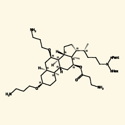 CCCCCCN(CCCCC)CCC[C@@H](C)[C@H]1CC[C@H]2[C@@H]3[C@H](OCCCN)C[C@@H]4C[C@H](OCCCN)CC[C@]4(C)[C@H]3C[C@H](OC(=O)CCN)[C@]12C